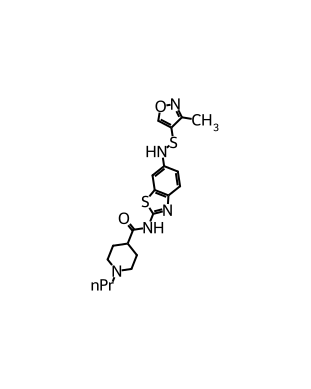 CCCN1CCC(C(=O)Nc2nc3ccc(NSc4conc4C)cc3s2)CC1